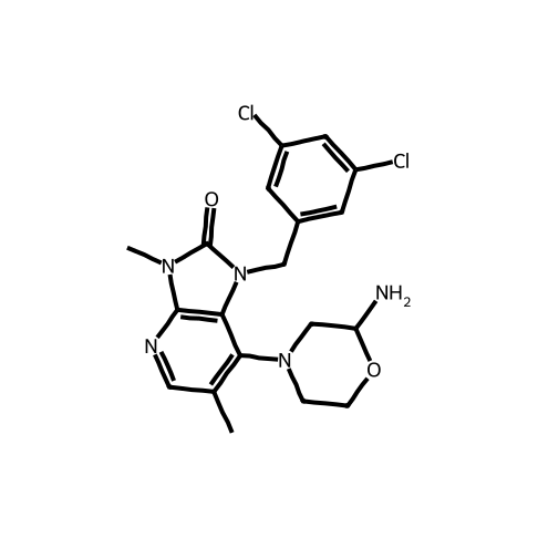 Cc1cnc2c(c1N1CCOC(N)C1)n(Cc1cc(Cl)cc(Cl)c1)c(=O)n2C